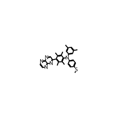 CSc1ccc(N(c2cc(C)cc(C)c2)c2c(C)c(C)c(-c3cnc4nccnc4n3)c(C)c2C)cc1